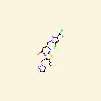 Cc1sc2nc(Cn3nc(C(F)(F)F)cc3Cl)cc(=O)n2c1Cn1cccn1